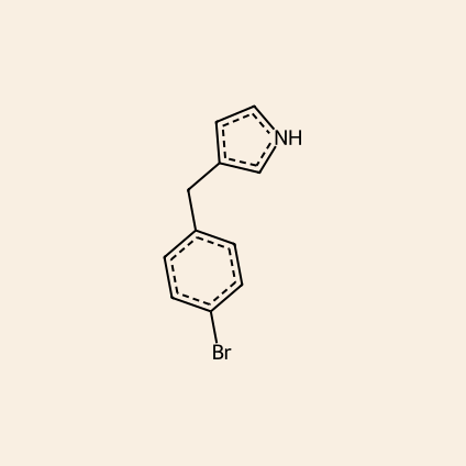 Brc1ccc(Cc2cc[nH]c2)cc1